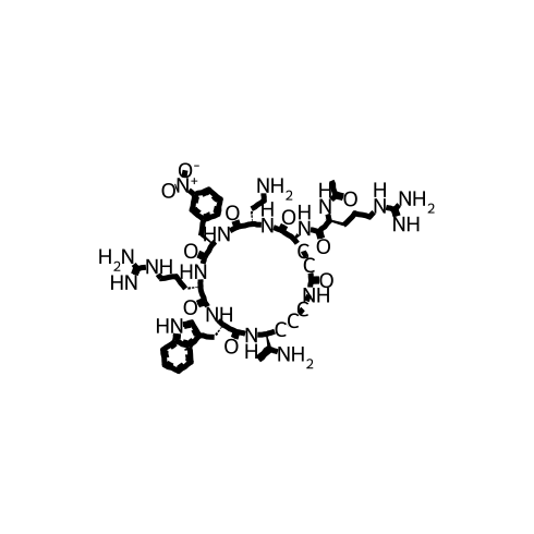 C=C(N)[C@@H]1CCCNC(=O)CC[C@H](NC(=O)[C@H](CCCNC(=N)N)NC(C)=O)C(=O)N[C@@H](CCN)C(=O)N[C@H](Cc2cccc([N+](=O)[O-])c2)C(=O)N[C@@H](CCCNC(=N)N)C(=O)N[C@@H](Cc2c[nH]c3ccccc23)C(=O)N1